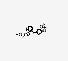 O=C(O)Oc1ncccc1Cc1ccc2c(c1)OC(F)(F)O2